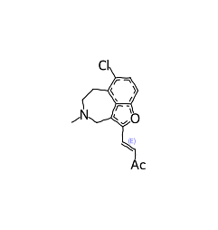 CC(=O)/C=C/c1oc2ccc(Cl)c3c2c1CN(C)CC3